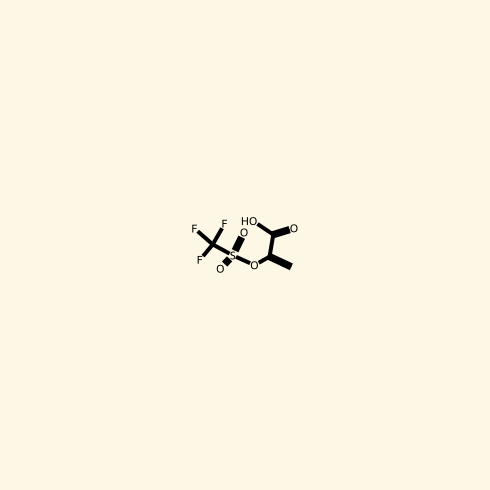 C=C(OS(=O)(=O)C(F)(F)F)C(=O)O